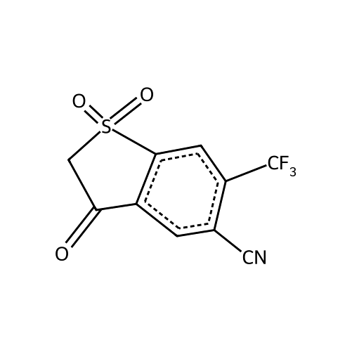 N#Cc1cc2c(cc1C(F)(F)F)S(=O)(=O)CC2=O